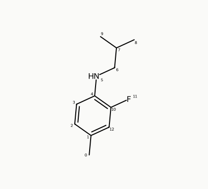 Cc1ccc(NCC(C)C)c(F)c1